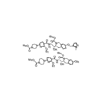 CCOc1nc(N2CCN(C(=O)OC)CC2)ccc1C(=O)NC[C@@H](O)[C@@H]1Cc2ccc(O)cc2CN1C(=O)OC(C)(C)C.CCOc1nc(N2CCN(C(=O)OC)CC2)ccc1C(=O)NC[C@@H](O)[C@@H]1Cc2ccc(OCc3ccnn3C)cc2CN1C(=O)OC(C)(C)C